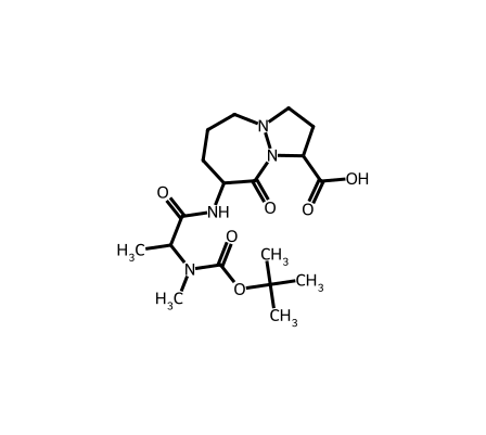 CC(C(=O)NC1CCCN2CCC(C(=O)O)N2C1=O)N(C)C(=O)OC(C)(C)C